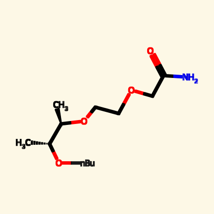 CCCCO[C@H](C)[C@@H](C)OCCOCC(N)=O